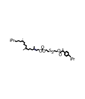 C/C(=C\COC(=O)OCCSSCCOC(=O)[C@@H](C)c1ccc(CC(C)C)cc1)CCC[C@@H](C)CCC[C@@H](C)CCCC(C)C